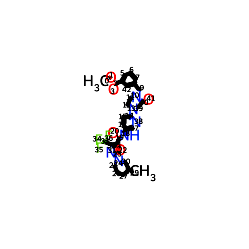 COC(=O)c1cccc(CN2CCN(c3ccc(NC(=O)c4oc(N5CCCC(C)C5)nc4C(F)(F)F)cn3)CC2=O)c1